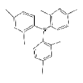 Cc1ccc([Si](c2ccc(C)cc2C)c2ccc(C)cc2C)c(C)c1